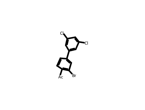 CC(=O)c1ccc(-c2cc(Cl)cc(Cl)c2)cc1Br